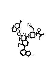 C=C(F)C(=O)N1CCN(c2nc(OC[C@@]34CCCN3C[C@H](F)C4)nc3c(F)c(-c4cccc5c4C[C@H](C)C5)ccc23)C[C@@H]1CC#N